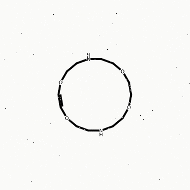 C1=COCCNCCOCCOCCNCCO1